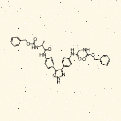 C[C@H](NC(=O)OCc1ccccc1)C(=O)Nc1ccc(-c2n[nH]nc2-c2ccc(NC(=O)[C@H](C)NC(=O)OCc3ccccc3)cc2)cc1